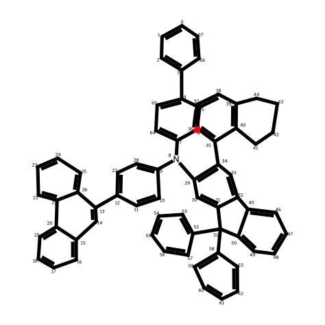 c1ccc(-c2ccc(N(c3ccc(-c4cc5ccccc5c5ccccc45)cc3)c3cc4c(cc3-c3cccc5c3CCCC5)-c3ccccc3C4(c3ccccc3)c3ccccc3)cc2)cc1